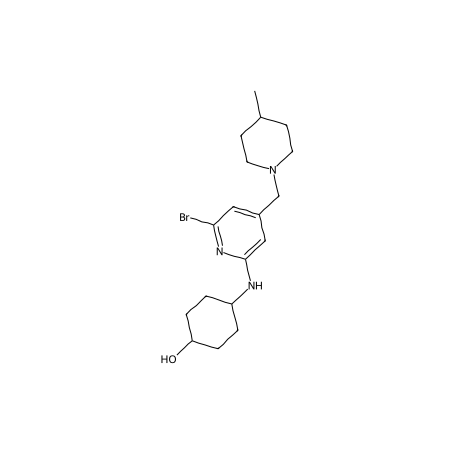 CC1CCN(Cc2cc(Br)nc(NC3CCC(O)CC3)c2)CC1